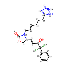 O=C1OCC(/C=C/C(O)C(F)(F)c2ccccc2)N1C/C=C/CCCc1nnn[nH]1